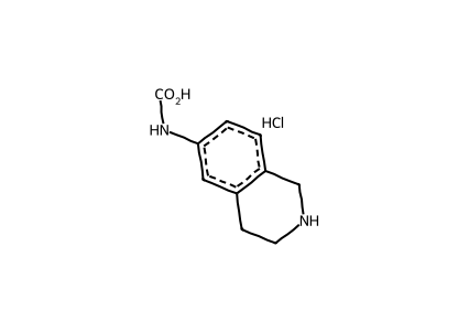 Cl.O=C(O)Nc1ccc2c(c1)CCNC2